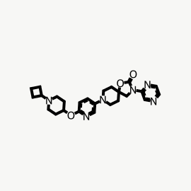 O=C1OC2(CCN(c3ccc(OC4CCN(C5CCC5)CC4)nc3)CC2)CN1c1cnccn1